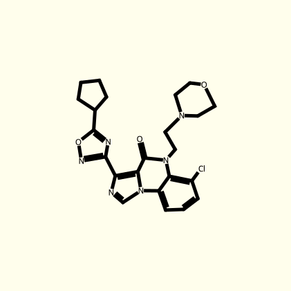 O=c1c2c(-c3noc(C4CCCC4)n3)ncn2c2cccc(Cl)c2n1CCN1CCOCC1